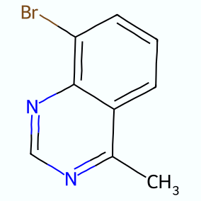 Cc1ncnc2c(Br)cccc12